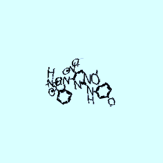 CNS(=O)(=O)c1ccccc1Nc1nc(Nc2cc(OC)ccc2OC)ncc1[N+](=O)[O-]